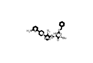 Cc1c(NC[C@H](NC(=O)OCc2ccccc2)C(=O)OC(C)(C)C)ncnc1N1CCC(c2cccc(N)n2)CC1